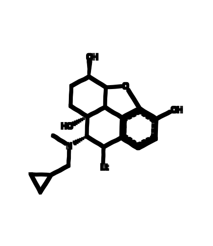 CCC1c2ccc(O)c3c2C2C(O3)[C@H](O)CC[C@]2(O)[C@H]1N(C)CC1CC1